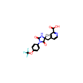 CC1(Cc2ccnc(C(=O)O)c2)NC(=O)N(c2ccc(OC(F)(F)F)cc2)C1=O